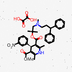 COC(=O)C1=C(C)NC(C)=C(C(=O)OC(C)(C)CN(C)CCC(c2ccccc2)c2ccccc2)[C@@H]1c1cccc([N+](=O)[O-])c1.O=C(O)C(=O)O